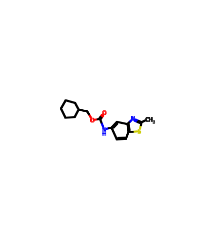 Cc1nc2cc(NC(=O)OCC3CCCCC3)ccc2s1